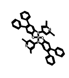 Cc1cc(N2c3cc(-c4ccccc4)c(-c4ccccc4)cc3O[Si]23Oc2cc(-c4ccccc4)c(-c4ccccc4)cc2N3c2cc(C)nc(C)c2)cc(C)n1